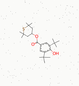 CC1(C)CC(OC(=O)c2cc(C(C)(C)C)c(O)c(C(C)(C)C)c2)CC(C)(C)S1